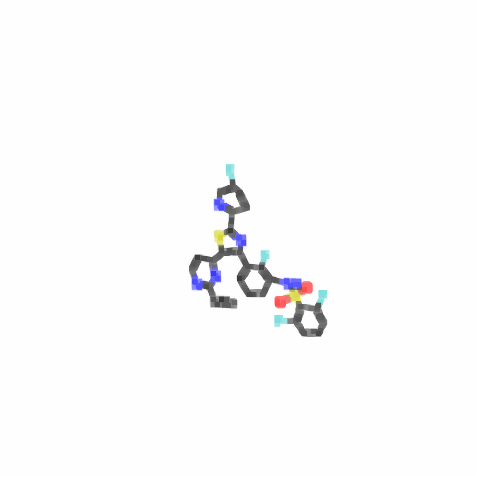 CNc1nccc(-c2sc(-c3ccc(F)cn3)nc2-c2cccc(NS(=O)(=O)c3c(F)cccc3F)c2F)n1